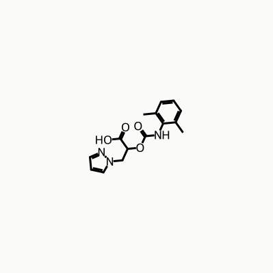 Cc1cccc(C)c1NC(=O)OC(Cn1cccn1)C(=O)O